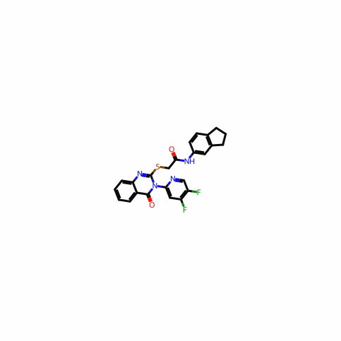 O=C(CSc1nc2ccccc2c(=O)n1-c1cc(F)c(F)cn1)Nc1ccc2c(c1)CCC2